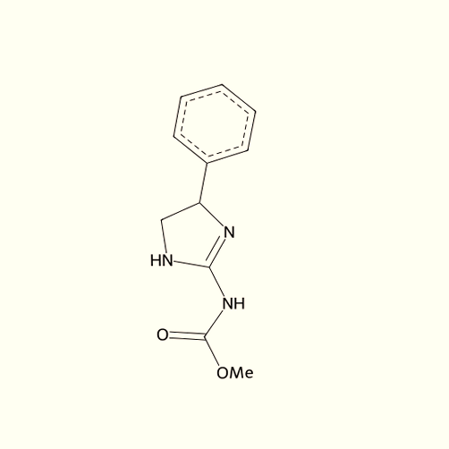 COC(=O)NC1=NC(c2ccccc2)CN1